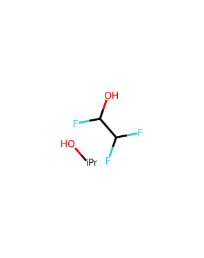 CC(C)O.OC(F)C(F)F